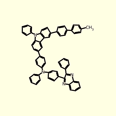 Cc1ccc(-c2ccc(-c3ccc4c(c3)c3cc(-c5ccc(N(c6ccccc6)c6ccc(-c7nc8ccccc8nc7-c7ccccc7)cc6)cc5)ccc3n4-c3ccccc3)cc2)cc1